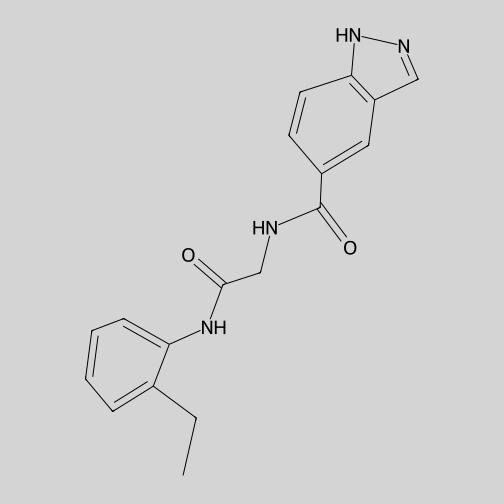 CCc1ccccc1NC(=O)CNC(=O)c1ccc2[nH]ncc2c1